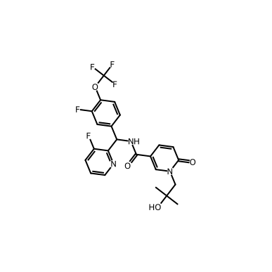 CC(C)(O)Cn1cc(C(=O)NC(c2ccc(OC(F)(F)F)c(F)c2)c2ncccc2F)ccc1=O